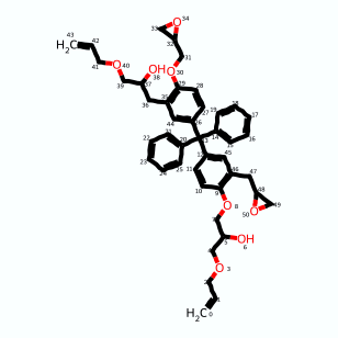 C=CCOCC(O)COc1ccc(C(c2ccccc2)(c2ccccc2)c2ccc(OCC3CO3)c(CC(O)COCC=C)c2)cc1CC1CO1